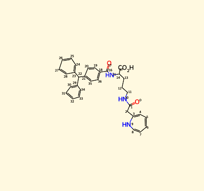 O=C(CC1=CC=CC=CN1)NCCCC(NC(=O)c1ccc(C(c2ccccc2)c2ccccc2)cc1)C(=O)O